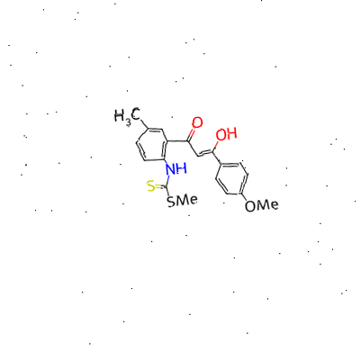 COc1ccc(/C(O)=C/C(=O)c2cc(C)ccc2NC(=S)SC)cc1